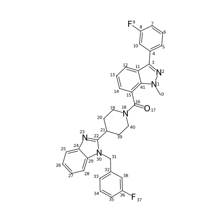 Cn1nc(-c2cccc(F)c2)c2cccc(C(=O)N3CCC(c4nc5ccccc5n4Cc4cccc(F)c4)CC3)c21